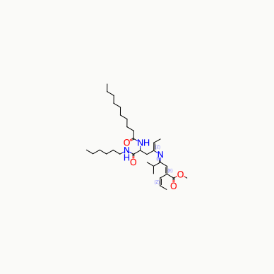 C\C=C/C(=C\C(=N\C(=C/C)CC(NC(=O)CCCCCCCCC)C(=O)NCCCCCC)C(C)C)C(=O)OC